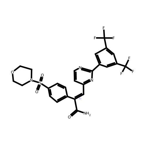 NC(=O)/C(=C/c1ccnc(-c2cc(C(F)(F)F)cc(C(F)(F)F)c2)n1)c1ccc(S(=O)(=O)N2CCOCC2)cc1